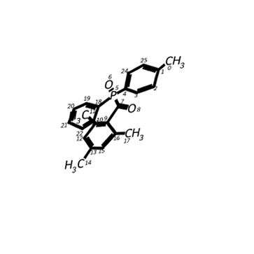 Cc1ccc(P(=O)(C(=O)c2c(C)cc(C)cc2C)c2ccccc2)cc1